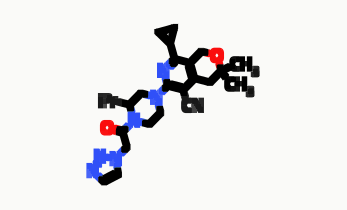 CC(C)C1CN(c2nc(C3CC3)c3c(c2C#N)CC(C)(C)OC3)CCN1C(=O)Cn1ccnn1